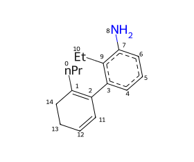 CCCC1=C(c2cccc(N)c2CC)C=CCC1